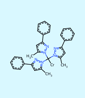 Cc1cc(-c2ccccc2)nn1[C]([Cr])(n1nc(-c2ccccc2)cc1C)n1nc(-c2ccccc2)cc1C